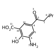 CC(C)CC(=O)c1cc(N)c(O)c(C(=O)O)c1